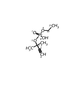 C#CC(C)(C)OP(=O)(O)OCC